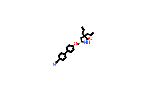 C=CCC1(CC=C)C[C@@H](COc2ccc(-c3ccc(C#N)cc3)cc2)NC1=O